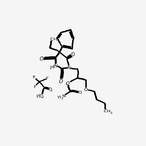 CCCCOCC(CN1C(=O)NC(=O)C(CC)(c2ccccc2)C1=O)OC(N)=O.O=C(O)C(F)(F)F